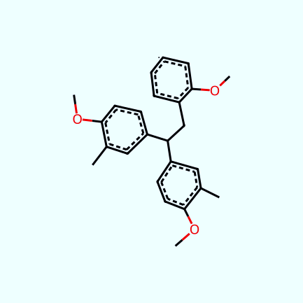 COc1ccc(C(Cc2cc[c]cc2OC)c2ccc(OC)c(C)c2)cc1C